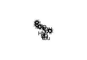 CC(C)(C)OC(=O)N[C@@H](Cc1ccccc1)[C@@H](O)CC(=O)N1CCC2(C=Cc3ccccc32)CC1